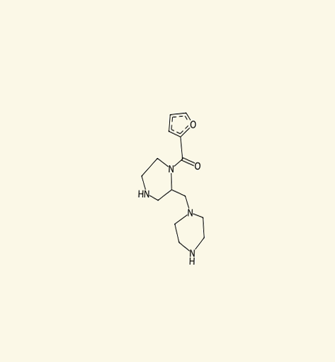 O=C(c1ccco1)N1CCNCC1CN1CCNCC1